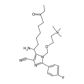 CCC(=O)CCCCCC(N)c1c(C#N)nc(-c2ccc(F)cc2)n1COCC[Si](C)(C)C